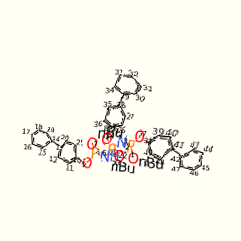 CCCCOP(N=P(NP(OCCCC)Oc1ccc(-c2ccccc2)cc1)(OCCCC)Oc1ccc(-c2ccccc2)cc1)Oc1ccc(-c2ccccc2)cc1